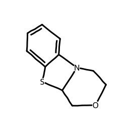 c1ccc2c(c1)SC1COCCN21